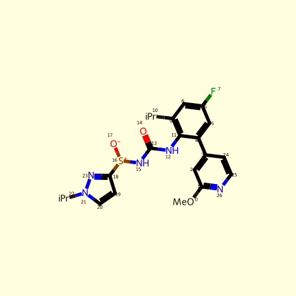 COc1cc(-c2cc(F)cc(C(C)C)c2NC(=O)N[S+]([O-])c2ccn(C(C)C)n2)ccn1